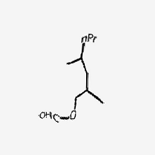 CCCC(C)CC(C)CO[C]=O